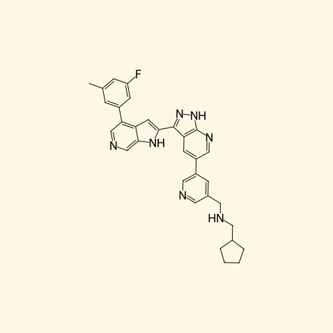 Cc1cc(F)cc(-c2cncc3[nH]c(-c4n[nH]c5ncc(-c6cncc(CNCC7CCCC7)c6)cc45)cc23)c1